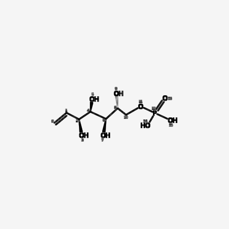 C=C[C@H](O)[C@@H](O)[C@H](O)[C@H](O)COP(=O)(O)O